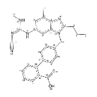 CCCc1nc2c(C)cc(N/C(=N\C#N)NC)cc2n1Cc1ccc(-c2ccccc2C(=O)O)cc1